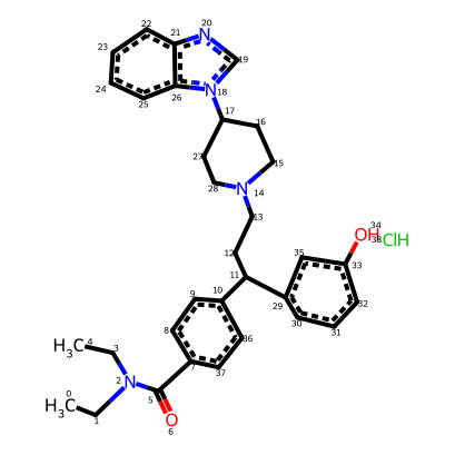 CCN(CC)C(=O)c1ccc(C(CCN2CCC(n3cnc4ccccc43)CC2)c2cccc(O)c2)cc1.Cl